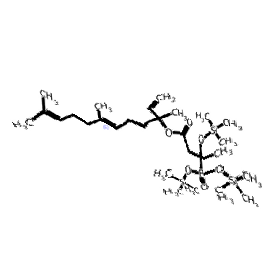 C=CC(C)(CC/C=C(\C)CCC=C(C)C)OC(=O)CC(C)(O[Si](C)(C)C)P(=O)(O[Si](C)(C)C)O[Si](C)(C)C